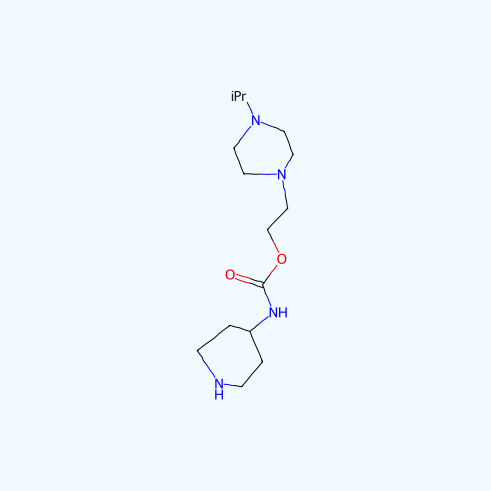 CC(C)N1CCN(CCOC(=O)NC2CCNCC2)CC1